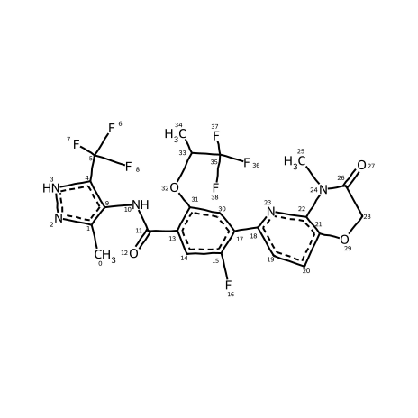 Cc1n[nH]c(C(F)(F)F)c1NC(=O)c1cc(F)c(-c2ccc3c(n2)N(C)C(=O)CO3)cc1OC(C)C(F)(F)F